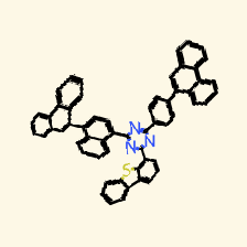 c1ccc2c(c1)cc(-c1ccc(-c3nc(-c4ccc(-c5cc6ccccc6c6ccccc56)c5ccccc45)nc(-c4cccc5c4sc4ccccc45)n3)cc1)c1ccccc12